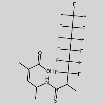 CC(=CC(C)NC(=S)C(C)C(F)(F)C(F)(F)C(F)(F)C(F)(F)C(F)(F)C(F)(F)F)C(=O)O